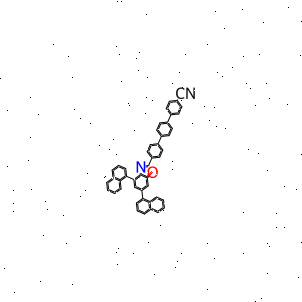 N#Cc1ccc(-c2ccc(-c3ccc(-c4nc5c(-c6cccc7ccccc67)cc(-c6cccc7ccccc67)cc5o4)cc3)cc2)cc1